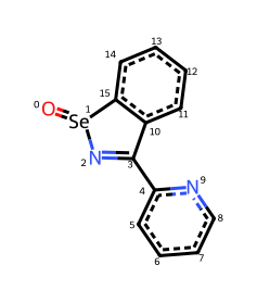 O=[Se]1N=C(c2ccccn2)c2ccccc21